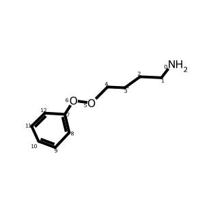 NCC[CH]COOc1ccccc1